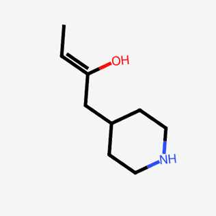 CC=C(O)CC1CCNCC1